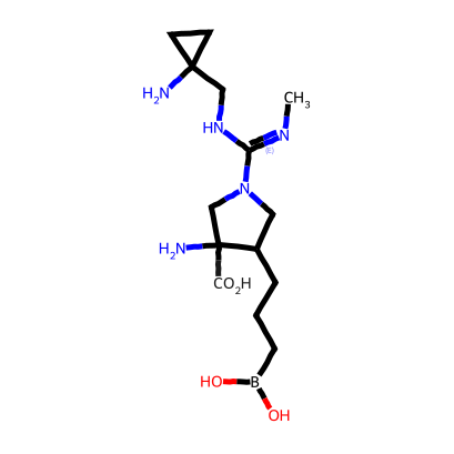 C/N=C(\NCC1(N)CC1)N1CC(CCCB(O)O)C(N)(C(=O)O)C1